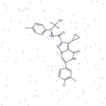 CC(C)(O)[C@@H](NC(=O)c1nn2cc(-c3ccc(Cl)c(F)c3)[nH]c(=O)c2c1C1CC1)c1ccc(F)cc1